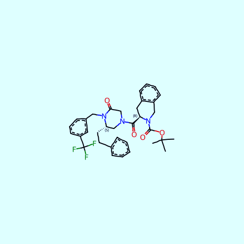 CC(C)(C)OC(=O)N1Cc2ccccc2C[C@@H]1C(=O)N1CC(=O)N(Cc2cccc(C(F)(F)F)c2)[C@@H](CCc2ccccc2)C1